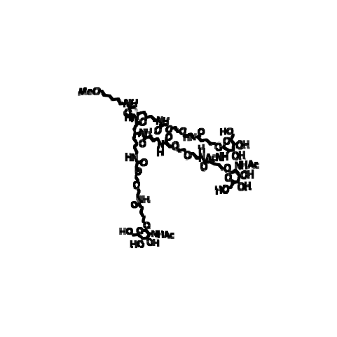 COCCCCCCNC(=O)C[C@H](CCCCNC(=O)COCCOCCNC(=O)CCCCO[C@@H]1OC(CO)[C@@H](O)[C@H](O)C1NC(C)=O)NC(=O)C[C@H](CCCCNC(=O)COCCOCCNC(=O)CCCCO[C@@H]1OC(CO)[C@@H](O)[C@H](O)C1NC(C)=O)NC(=O)CCCNC(=O)COCCOCCNC(=O)CCCCO[C@@H]1OC(CO)[C@@H](O)[C@H](O)C1NC(C)=O